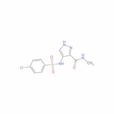 CNC(=O)c1n[nH]cc1NS(=O)(=O)c1ccc(Cl)cc1